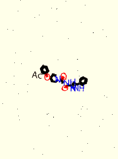 CC(=O)c1ccccc1OC1CCN(C(=O)CNC(=O)c2cc(-c3ccccc3)[nH]n2)CC1